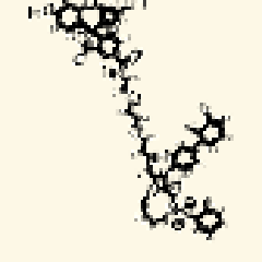 Cc1ccccc1S(=O)(=O)N1CCCCN2C(CNCCOCCOCCNC(=O)c3ccc4c(c3)C(=O)OC43c4ccc(O)cc4Oc4cc(O)ccc43)[C@@H](c3ccc(-c4cccc(C)c4C)cc3)[C@@H]2C1